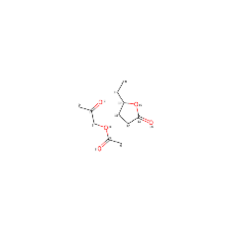 CC(=O)COC(C)=O.CCC1CCC(=O)O1